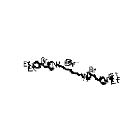 CCN(CC)c1ccc(/C=C/c2cc[n+](CCCCCCCCCC[n+]3ccc(/C=C/c4ccc(N(CC)CC)cc4)c(Br)c3)cc2Br)cc1.[Br-].[Br-]